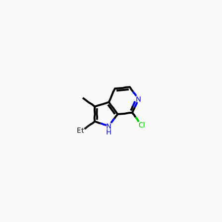 CCc1[nH]c2c(Cl)nccc2c1C